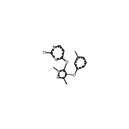 Cc1cccc(Oc2c(C)nn(C)c2Oc2ccnc(Cl)n2)c1